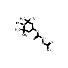 CCCCC(=O)ONC(=O)OC1CC(C)(C)N(O)C(C)(C)C1